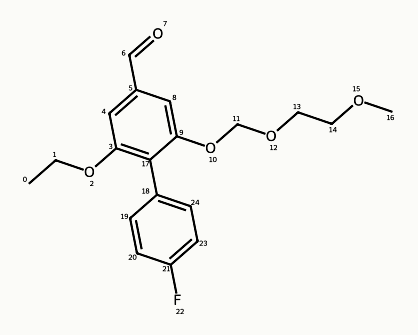 CCOc1cc(C=O)cc(OCOCCOC)c1-c1ccc(F)cc1